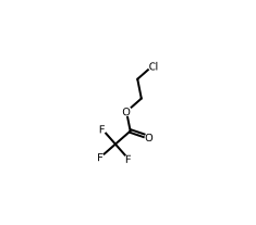 O=C(OCCCl)C(F)(F)F